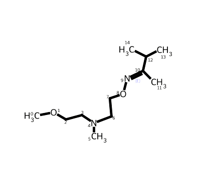 COCCN(C)CCO/N=C(\C)C(C)C